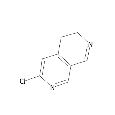 Clc1cc2c(cn1)C=NCC2